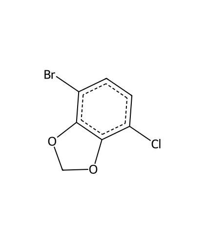 Clc1ccc(Br)c2c1OCO2